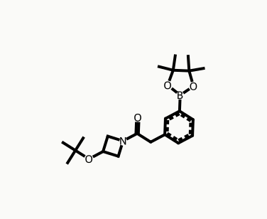 CC(C)(C)OC1CN(C(=O)Cc2cccc(B3OC(C)(C)C(C)(C)O3)c2)C1